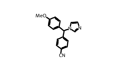 COc1ccc(C(c2ccc(C#N)cc2)n2ccnc2)cc1